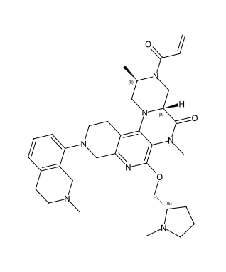 C=CC(=O)N1C[C@@H]2C(=O)N(C)c3c(OC[C@@H]4CCCN4C)nc4c(c3N2C[C@H]1C)CCN(c1cccc2c1CN(C)CC2)C4